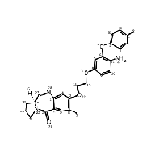 Cc1ccc(Oc2cc(OCCOc3cc4c(cc3C)C(=O)N3CCC[C@H]3C=N4)ccc2N)cc1